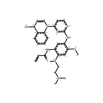 C=CC(=O)Nc1cc(Nc2nccc(N3C=CC(O)c4ccccc43)n2)c(OC)cc1N(C)CCN(C)C